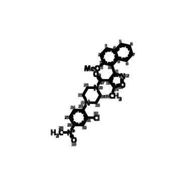 COc1ccc2ccccc2c1-c1noc(C)c1C(=O)N1CCN(c2ccc([N+](C)=O)cc2Cl)CC1